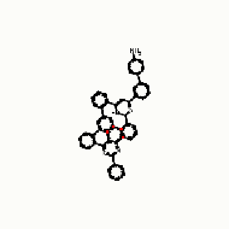 Nc1ccc(-c2cccc(C3=NC(c4ccccc4)NC(c4ccccc4-c4cccc(-c5ccccc5-c5nc(-c6ccccc6)nc6ccccc56)c4)=C3)c2)cc1